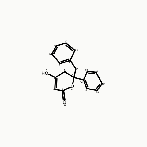 O=C1C=C(O)CC(Cc2ccccc2)(c2ccccc2)O1